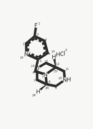 Cl.Fc1ccc(CN2[C@@H]3CNC[C@H]2COC3)nc1